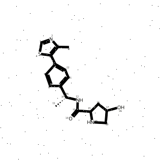 Cc1ncsc1-c1ccc([C@@H](C)NC(=O)C2CC(O)CN2)cc1